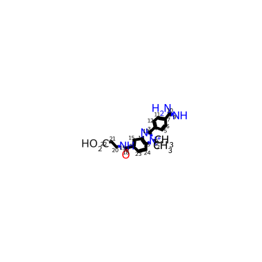 C[N+]1(C)C(c2ccc(C(=N)N)cc2)=Nc2cc(C(=O)NCCC(=O)O)ccc21